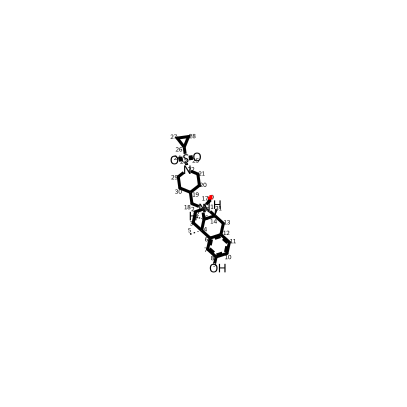 CN1CC[C@]2(C)c3cc(O)ccc3C[C@@H]1[C@@H]2N(C)CC1CCN(S(=O)(=O)C2CC2)CC1